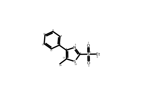 CCS(=O)(=O)c1nc(-c2ccccc2)c(C)s1